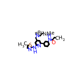 C=CC(=O)Nc1cccc(-c2cc(CN(CCCC)CCNC)cc(Nc3ncc(C)s3)n2)c1